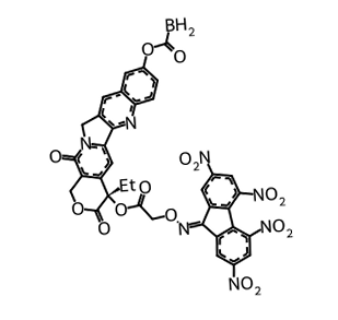 BC(=O)Oc1ccc2nc3c(cc2c1)Cn1c-3cc2c(c1=O)COC(=O)[C@@]2(CC)OC(=O)CON=C1c2cc([N+](=O)[O-])cc([N+](=O)[O-])c2-c2c1cc([N+](=O)[O-])cc2[N+](=O)[O-]